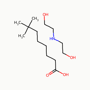 CC(C)(C)CCCCCC(=O)O.OCCNCCO